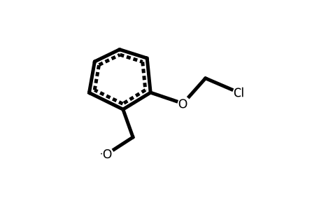 [O]Cc1ccccc1OCCl